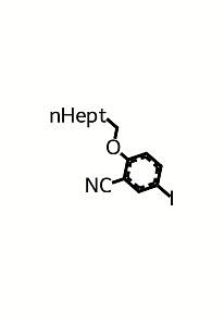 CCCCCCCCOc1ccc(I)cc1C#N